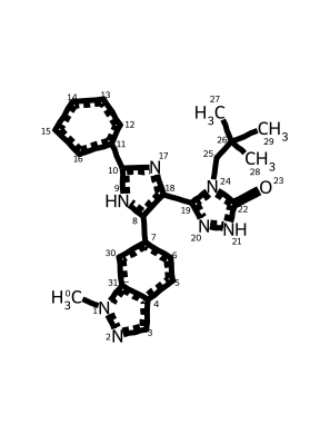 Cn1ncc2ccc(-c3[nH]c(-c4ccccc4)nc3-c3n[nH]c(=O)n3CC(C)(C)C)cc21